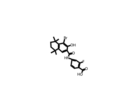 CC1(C)CCC(C)(C)c2c1cc(C(=O)Nc1ccc(C(=O)O)c(F)c1)c(O)c2Br